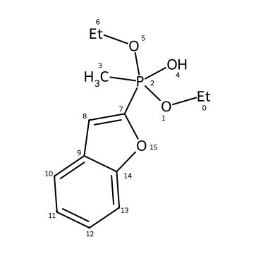 CCOP(C)(O)(OCC)c1cc2ccccc2o1